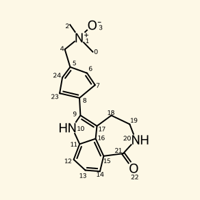 C[N+](C)([O-])Cc1ccc(-c2[nH]c3cccc4c3c2CCNC4=O)cc1